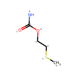 CSCCOC([NH])=O